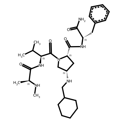 CN[C@@H](C)C(=O)N[C@H](C(=O)N1C[C@@H](NCC2CCCCC2)C[C@H]1C(=O)N[C@@H](Cc1ccccc1)C(N)=O)C(C)C